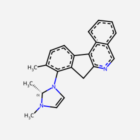 Cc1ccc2c(c1N1C=CN(C)[C@@H]1C)Cc1ncc3ccccc3c1-2